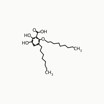 CCCCCCCCCOc1c(CCCCCCCC)cc(O)c(O)c1C(=O)O